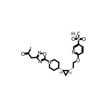 CS(=O)(=O)c1ccc(OCC[C@@H]2C[C@@H]2C2CCN(c3nc(CC(=O)I)no3)CC2)nc1